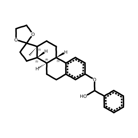 C[C@]12CC[C@@H]3c4ccc(OC(O)c5ccccc5)cc4CC[C@H]3[C@@H]1CCC21OCCO1